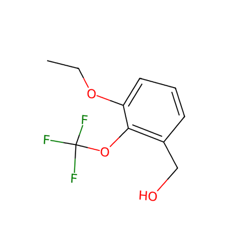 CCOc1cccc(CO)c1OC(F)(F)F